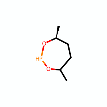 CC1CC[C@H](C)OPO1